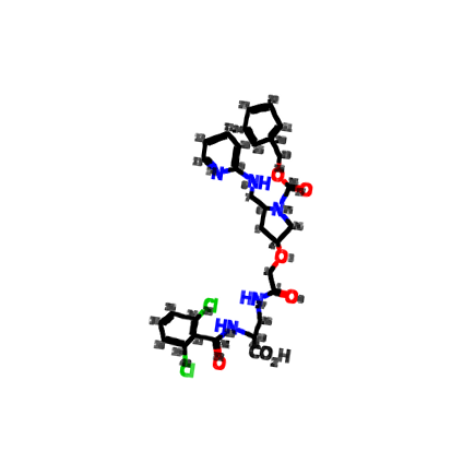 O=C(COC1CC(CNc2ccccn2)N(C(=O)OCc2ccccc2)C1)NCC(NC(=O)c1c(Cl)cccc1Cl)C(=O)O